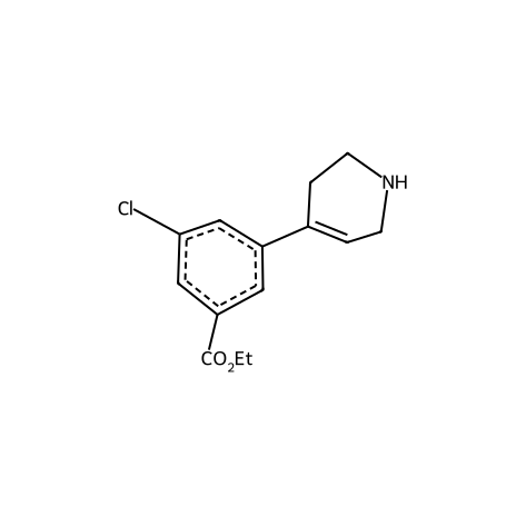 CCOC(=O)c1cc(Cl)cc(C2=CCNCC2)c1